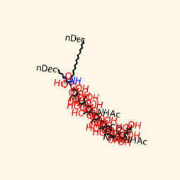 CCCCCCCCCCCCC/C=C/[C@@H](O)[C@H](CO[C@@H]1OC(CO)[C@@H](O[C@@H]2OC(CO)[C@H](O[C@@H]3OC(CO)[C@H](O)[C@H](O[C@@H]4OC(CO)[C@H](O)[C@H](O[C@@H]5OC(CO)[C@H](O)[C@H](O[C@]6(C(=O)O)CC(O)[C@@H](NC(C)=O)C([C@H](O)[C@@H](CO)O[C@]7(C(=O)O)CC(O)[C@@H](NC(C)=O)C([C@H](O)[C@H](O)CO)O7)O6)C5O)C4NC(C)=O)C3O)[C@H](O)C2O)[C@H](O)C1O)NC(=O)CCCCCCCCCCCCCCCCCCCCCCC